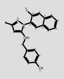 Cc1cc(NCc2ccc(C#N)cc2)n(-c2cc3ccccc3cc2F)n1